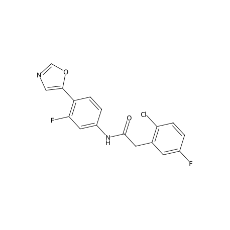 O=C(Cc1cc(F)ccc1Cl)Nc1ccc(-c2cnco2)c(F)c1